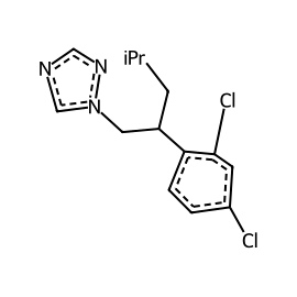 CC(C)CC(Cn1cncn1)c1ccc(Cl)cc1Cl